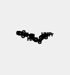 CC(C)NC(=O)CN1CCN(C(=O)c2ccc(Nc3nccc(-c4ccc(S(=O)(=O)C5CCOCC5)cc4)n3)cc2)CC1